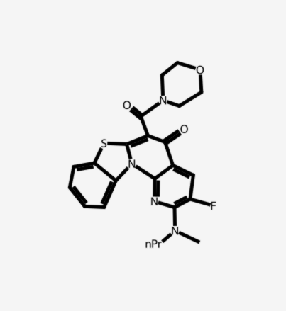 CCCN(C)c1nc2c(cc1F)c(=O)c(C(=O)N1CCOCC1)c1sc3ccccc3n12